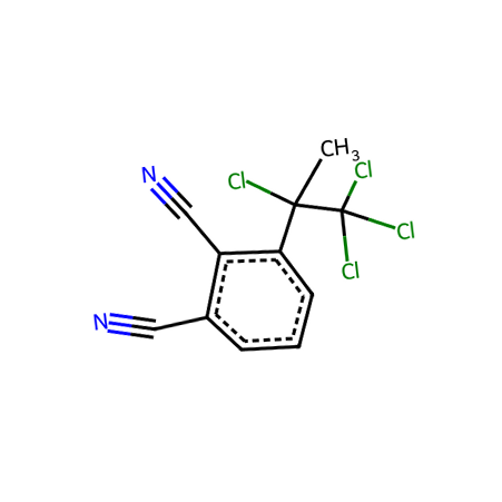 CC(Cl)(c1cccc(C#N)c1C#N)C(Cl)(Cl)Cl